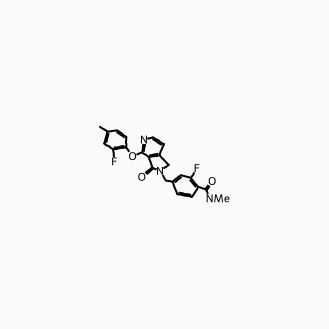 CNC(=O)c1ccc(CN2Cc3ccnc(Oc4ccc(C)cc4F)c3C2=O)cc1F